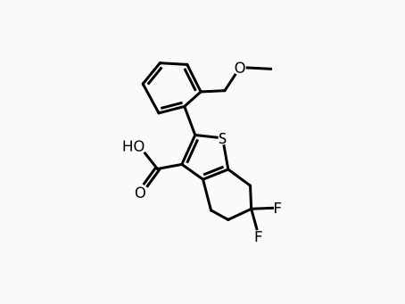 COCc1ccccc1-c1sc2c(c1C(=O)O)CCC(F)(F)C2